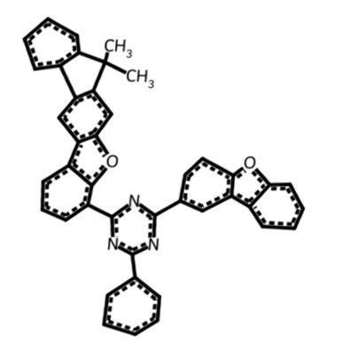 CC1(C)c2ccccc2-c2cc3c(cc21)oc1c(-c2nc(-c4ccccc4)nc(-c4ccc5oc6ccccc6c5c4)n2)cccc13